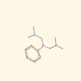 CC(C)CP(CC(C)C)c1ccccc1